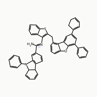 N/C(=N\c1c(Cc2cccc3oc4c(-c5ccccc5)cc(C5=CC=CCC5)cc4c23)sc2ccccc12)c1ccc2c(c1)N(c1ccccc1)C1C=CC=CC21